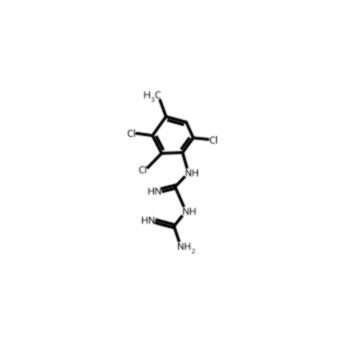 Cc1cc(Cl)c(NC(=N)NC(=N)N)c(Cl)c1Cl